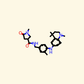 Cc1cc(CNC(=O)C2CC(=O)N(C)C2)ccc1Nc1ccc2c(c1)C(C)(C)CCN2C